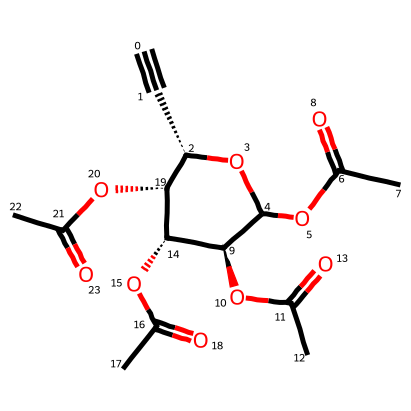 C#C[C@@H]1OC(OC(C)=O)[C@@H](OC(C)=O)[C@H](OC(C)=O)[C@@H]1OC(C)=O